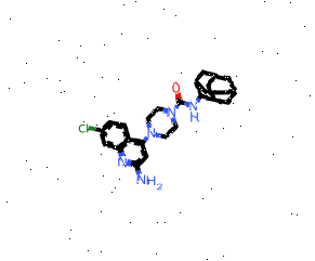 Nc1cc(N2CCN(C(=O)NC3C4CC5CC(C4)CC3C5)CC2)c2ccc(Cl)cc2n1